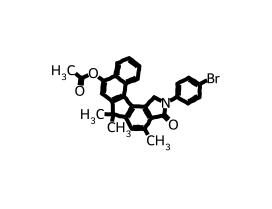 CC(=O)Oc1cc2c(c3ccccc13)-c1c(cc(C)c3c1CN(c1ccc(Br)cc1)C3=O)C2(C)C